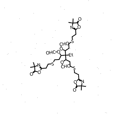 CCC(C(CCSCCC1=NC(C)(C)C(=O)O1)OC=O)(C(CCSCCC1=NC(C)(C)C(=O)O1)OC=O)C(CCSCCC1=NC(C)(C)C(=O)O1)OC=O